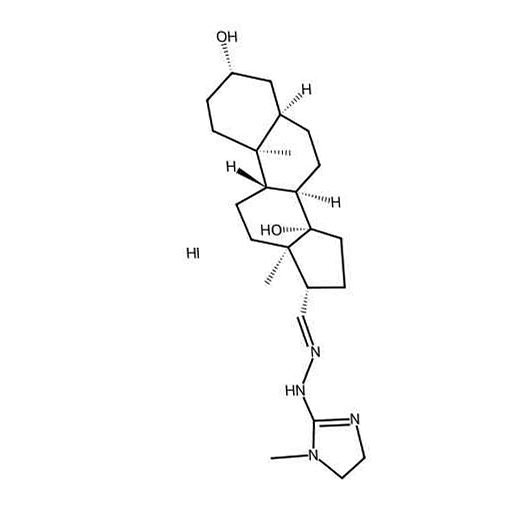 CN1CCN=C1NN=C[C@H]1CC[C@]2(O)[C@@H]3CC[C@@H]4C[C@@H](O)CC[C@]4(C)[C@H]3CC[C@]12C.I